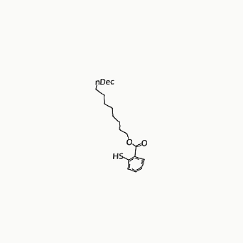 CCCCCCCCCCCCCCCCCCOC(=O)c1ccccc1S